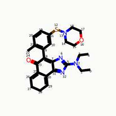 CCN(CC)C1=NC2=C(c3cc(SN4CCOCC4)ccc3C)C(=O)C3=CCCC=C3C2=N1